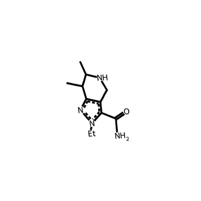 CCn1nc2c(c1C(N)=O)CNC(C)C2C